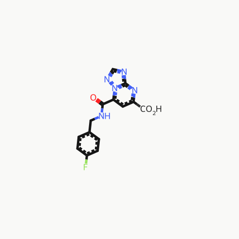 O=C(O)c1cc(C(=O)NCc2ccc(F)cc2)n2ncnc2n1